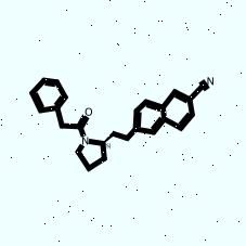 N#Cc1ccc2cc(CC[C@H]3CCCN3C(=O)Cc3ccccc3)ccc2c1